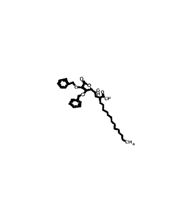 CCCCCCCCCCCCCCC(C[C@H](O)[C@H]1OC(=O)C(OCc2ccccc2)=C1OCc1ccccc1)C(=O)O